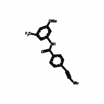 COc1cc(NC(=O)c2ccc(C#CC(C)(C)C)cc2)cc(C(F)(F)F)c1